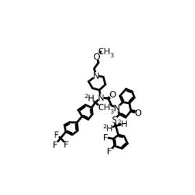 [2H]C([2H])(Sc1cc(=O)c2ccccc2n1CC(=O)N(C1CCN(CCOC)CC1)C([2H])(C)c1ccc(-c2ccc(C(F)(F)F)cc2)cc1)c1cccc(F)c1F